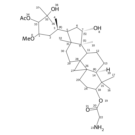 COC(C[C@@H](C)C1C[C@H](O)[C@@]2(C)C3CC[C@H]4C(C)(C)C(OC(=O)CN)CCC45CC35CCC12C)C(OC(C)=O)C(C)(C)O